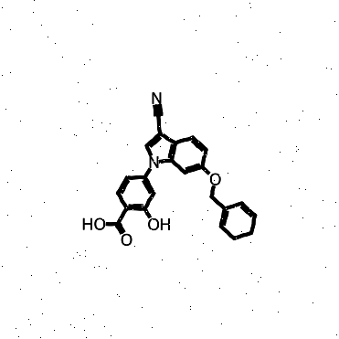 N#Cc1cn(-c2ccc(C(=O)O)c(O)c2)c2cc(OCC3=CCCC=C3)ccc12